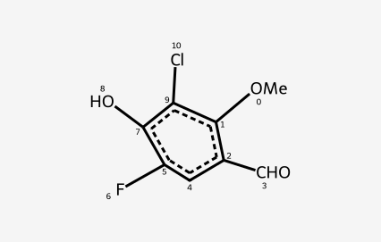 COc1c(C=O)cc(F)c(O)c1Cl